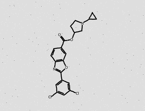 O=C(OC1CCN(C2CC2)C1)c1ccc2nc(-c3cc(Cl)cc(Cl)c3)oc2c1